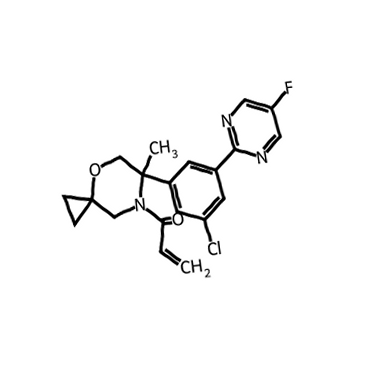 C=CC(=O)N1CC2(CC2)OCC1(C)c1cc(Cl)cc(-c2ncc(F)cn2)c1